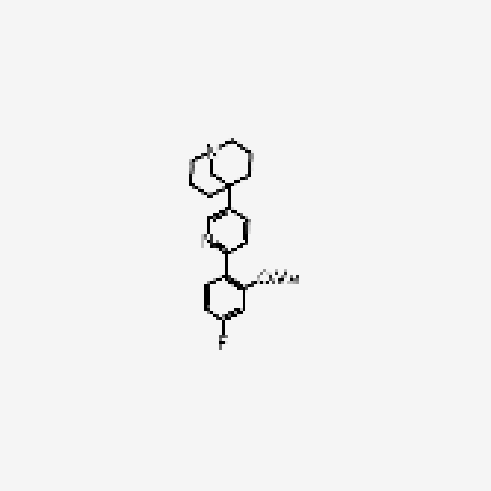 COc1cc(F)ccc1-c1ccc(C23CCCN(CCC2)C3)cn1